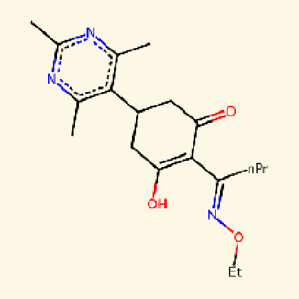 CCC/C(=N\OCC)C1=C(O)CC(c2c(C)nc(C)nc2C)CC1=O